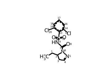 CCC1CC=NN1C(=O)NS(=O)(=O)c1c(Cl)cccc1Cl